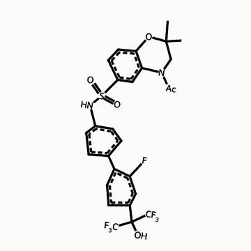 CC(=O)N1CC(C)(C)Oc2ccc(S(=O)(=O)Nc3ccc(-c4ccc(C(O)(C(F)(F)F)C(F)(F)F)cc4F)cc3)cc21